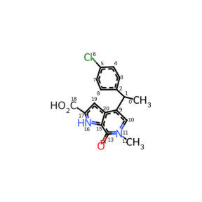 CC(c1ccc(Cl)cc1)c1cn(C)c(=O)c2[nH]c(C(=O)O)cc12